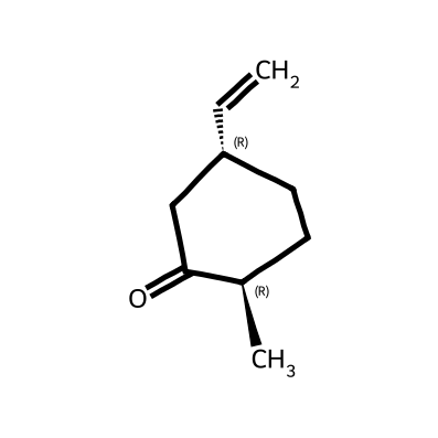 C=C[C@@H]1CC[C@@H](C)C(=O)C1